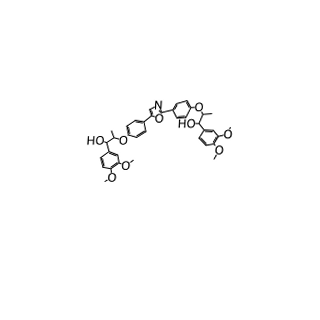 COc1ccc(C(O)C(C)Oc2ccc(-c3cnc(-c4ccc(OC(C)C(O)c5ccc(OC)c(OC)c5)cc4)o3)cc2)cc1OC